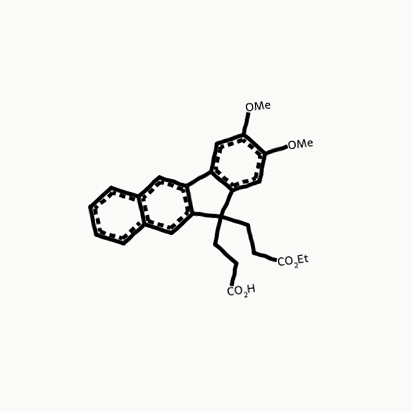 CCOC(=O)CCC1(CCC(=O)O)c2cc(OC)c(OC)cc2-c2cc3ccccc3cc21